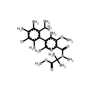 BOC(=O)C(B)(B)N(B)C(=O)c1nc(B)c(-c2c(B)c(Cl)c(B)c(B)c2C(B)B)c(B)c1OB